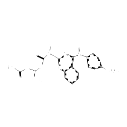 COc1ccc(N(C)c2nc(N(C)C(=O)OC(C)OC(=O)C(C)C)nc3ccccc23)cc1